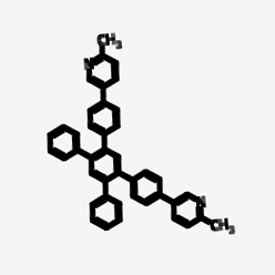 Cc1ccc(-c2ccc(-c3cc(-c4ccc(-c5ccc(C)nc5)cc4)c(-c4ccccc4)cc3-c3ccccc3)cc2)cn1